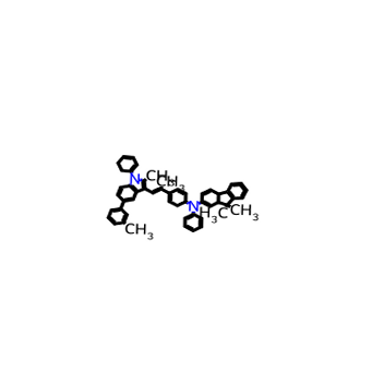 C/C(=C\c1c(C)n(C2=CC=CCC2)c2ccc(-c3cccc(C)c3)cc12)C1=CCC(N(C2=CC3C(C=C2)C2=C(C=C=C=C2)C3(C)C)c2ccccc2)C=C1